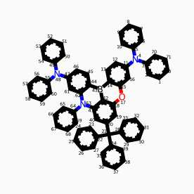 c1ccc(N(c2ccccc2)c2ccc3c(c2)Oc2cc(C(c4ccccc4)(c4ccccc4)c4ccccc4)cc4c2B3c2ccc(N(c3ccccc3)c3ccccc3)cc2N4c2ccccc2)cc1